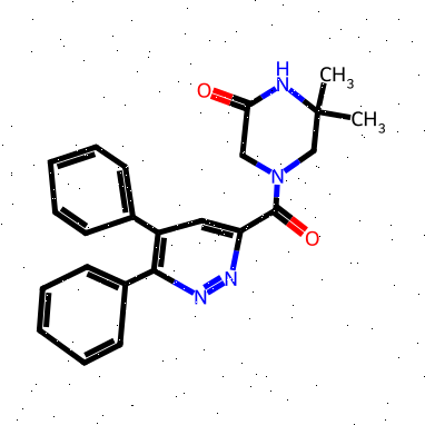 CC1(C)CN(C(=O)c2cc(-c3ccccc3)c(-c3ccccc3)nn2)CC(=O)N1